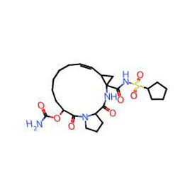 NC(=O)OC1CCCCC/C=C\C2CC2(C(=O)NS(=O)(=O)C2CCCC2)NC(=O)C2CCCN2C1=O